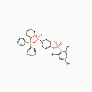 CC(C)c1cc(C(C)C)c(S(=O)(=O)Oc2ccc(S(=O)(=O)OS(c3ccccc3)(c3ccccc3)c3ccccc3)cc2)c(C(C)C)c1